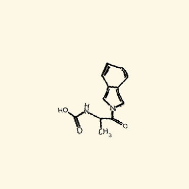 CC(NC(=O)O)C(=O)n1cc2ccccc2c1